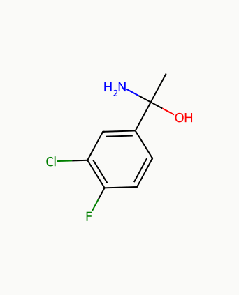 CC(N)(O)c1ccc(F)c(Cl)c1